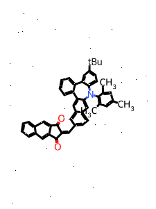 Cc1cc(C)c(N2c3ccc(C(C)(C)C)cc3-c3ccccc3-c3cc4cc(C=C5C(=O)c6cc7ccccc7cc6C5=O)ccc4cc32)c(C)c1